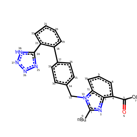 CCCCc1nc2c(C(=O)OC)cccc2n1Cc1ccc(-c2ccccc2-c2nnn[nH]2)cc1